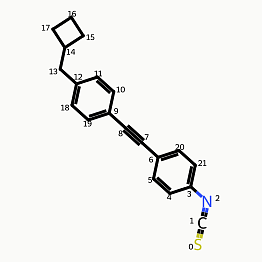 S=C=Nc1ccc(C#Cc2ccc(CC3CCC3)cc2)cc1